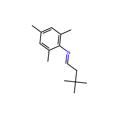 Cc1cc(C)c(/N=C/CC(C)(C)C)c(C)c1